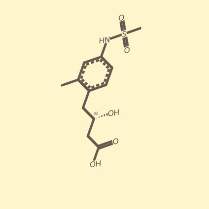 Cc1cc(NS(C)(=O)=O)ccc1C[C@H](O)CC(=O)O